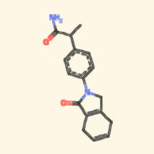 CC(C(N)=O)c1ccc(N2CC3=C(CC=CC3)C2=O)cc1